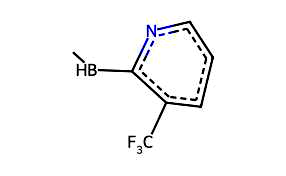 CBc1ncccc1C(F)(F)F